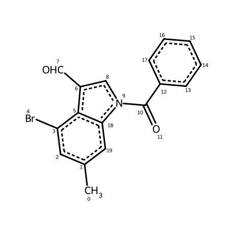 Cc1cc(Br)c2c(C=O)cn(C(=O)c3ccccc3)c2c1